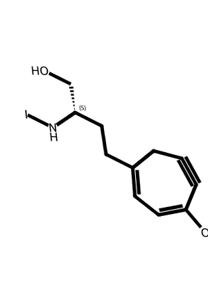 OC[C@H](CCC1=CC=C(O)C#CC1)NI